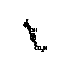 CS(=O)(=O)N(CC#CCCCC(=O)O)CCCC(O)COc1cccc(F)c1